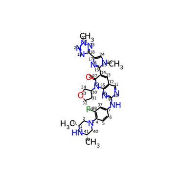 C[C@@H]1CN(c2ccc(Nc3ncc4cc(-c5nc(-c6nnn(C)n6)cn5C)c(=O)n(C5CCOC5)c4n3)cc2F)C[C@H](C)N1